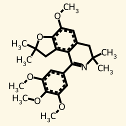 COc1cc(C2=NC(C)(C)Cc3cc(OC)c4c(c32)CC(C)(C)O4)cc(OC)c1OC